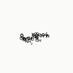 Cc1ncsc1-c1ccc(C(C)NC(=O)[C@H]2C[C@H](O)CN2C(=O)C(NCC(=O)N2CCN(c3cc(-c4ccccc4O)nnc3N)CC2)C(C)(C)C)cc1